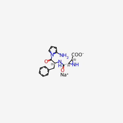 Nc1cccn1C(=O)[C@H](Cc1ccccc1)NC(=O)[C@H]1N[C@@H]1C(=O)[O-].[Na+]